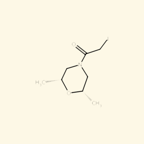 C[C@@H]1CN(C(=O)CI)C[C@H](C)O1